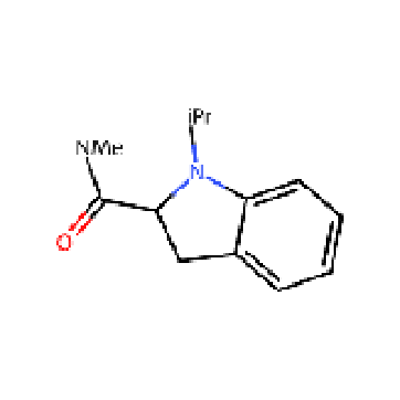 CNC(=O)C1Cc2ccccc2N1C(C)C